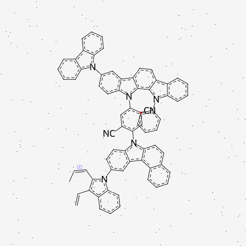 C=Cc1c(/C=C\C)n(-c2ccc3c(c2)c2c4ccccc4ccc2n3-c2cc(C#N)c(-n3c4ccc(-n5c6ccccc6c6ccccc65)cc4c4ccc5c6ccccc6n(-c6ccccc6)c5c43)cc2C#N)c2ccccc12